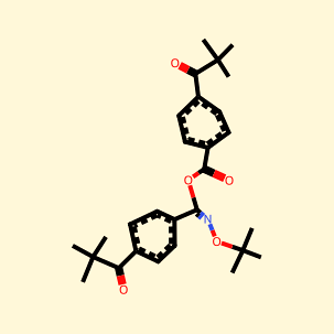 CC(C)(C)ON=C(OC(=O)c1ccc(C(=O)C(C)(C)C)cc1)c1ccc(C(=O)C(C)(C)C)cc1